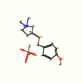 COc1ccc(CS[C@H]2CC[N+](C)(C)C2)cc1.O=S(=O)([O-])F